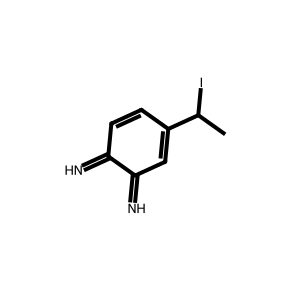 CC(I)C1=CC(=N)C(=N)C=C1